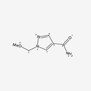 COCn1cc(C(N)=O)cn1